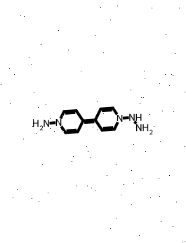 NNN1C=CC(=C2C=CN(N)C=C2)C=C1